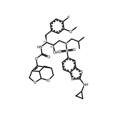 COc1cc(C[C@H](NC(=O)OC2=C3COC4OCC2CC34)[C@H](O)CN(CC(C)C)S(=O)(=O)c2ccc3nc(NC4CC4)sc3c2)ccc1F